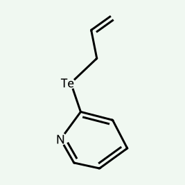 C=CC[Te]c1ccccn1